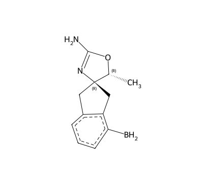 Bc1cccc2c1C[C@@]1(C2)N=C(N)O[C@@H]1C